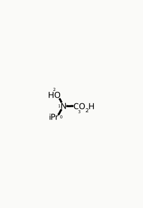 CC(C)N(O)C(=O)O